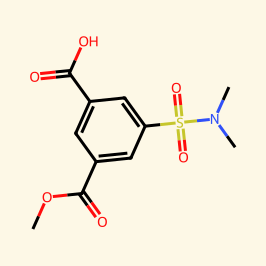 COC(=O)c1cc(C(=O)O)cc(S(=O)(=O)N(C)C)c1